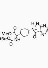 COC(=O)C(NC(=O)OC(C)(C)C)C1CCC(NC(=O)c2nccnc2N)CC1